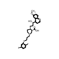 COc1ccc2nccc([C@@H](O)CC[C@@H]3CCN(CCCSc4cc(F)ccc4F)C[C@@H]3C(=O)O)c2c1